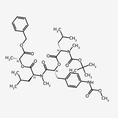 COC(=O)Nc1ccc(C[C@@H](OC(=O)[C@H](CC(C)C)N(C)C(=O)OC(C)(C)C)C(=O)N(C)[C@@H](CC(C)C)C(=O)O[C@H](C)C(=O)OCc2ccccc2)cc1